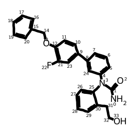 NC(=O)N(c1cccc(-c2ccc(OCc3ccccc3)c(F)c2)c1)c1ccccc1CCO